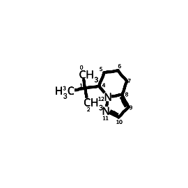 CC(C)(C)C1CCCc2ccnn21